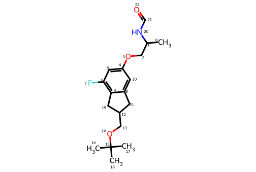 CC(COc1cc(F)c2c(c1)CC(COC(C)(C)C)C2)NC=O